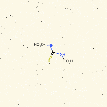 O=C(O)NC(=S)NC(=O)O